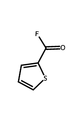 O=C(F)c1cccs1